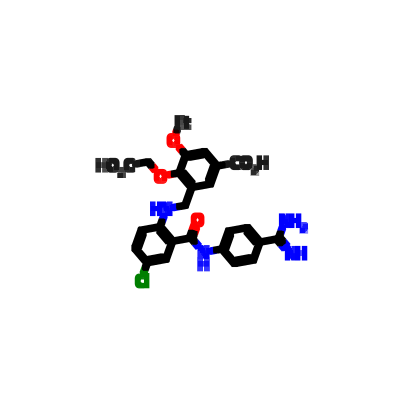 CCOc1cc(C(=O)O)cc(CNc2ccc(Cl)cc2C(=O)Nc2ccc(C(=N)N)cc2)c1OCC(=O)O